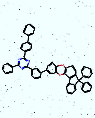 c1ccc(-c2ccc(-c3nc(-c4ccccc4)nc(-c4cccc(-c5ccc6c(c5)Oc5c(ccc7c5-c5ccccc5C7(c5ccccc5)c5ccccc5)O6)c4)n3)cc2)cc1